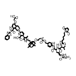 Cc1c(-c2ccc(N3CCc4c(OCC(=O)O)ccc(C(=O)Nc5nc6ccccc6s5)c4C3)nc2C(=O)O)cnn1CC12CC3(C)CC(C)(C1)CC(OCCN(C)C(=O)OCc1ccc(NC(=O)[C@H](CCCNC(N)=O)NC(=O)[C@@H](NC(=O)CCCCCN4C(=O)C=CC4=O)C(C)C)cc1)(C3)C2